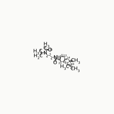 C=C(C)N(CCCNC(=O)c1ccc(CC(C)(CC)CCC)cc1)C(C)=O